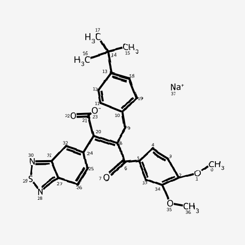 COc1ccc(C(=O)/C(Cc2ccc(C(C)(C)C)cc2)=C(/C(=O)[O-])c2ccc3nsnc3c2)cc1OC.[Na+]